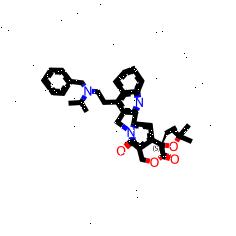 CC[C@@]1(OC(C)(C)C)C(=O)OCc2c1cc1n(c2=O)Cc2c-1nc1ccccc1c2CCN(Cc1ccccc1)C(C)C